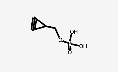 O=P(O)(O)OCC1C#C1